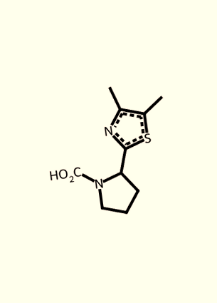 Cc1nc(C2CCCN2C(=O)O)sc1C